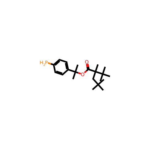 CC(C)(C)CC(C)(C(=O)OC(C)(C)c1ccc(P)cc1)C(C)(C)C